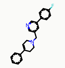 Fc1ccc(-c2cncc(CN3CC=C(c4ccccc4)CC3)c2)cc1